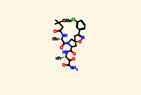 CCC[C@H](NC(=O)[C@@H]1C[C@]2(CC(c3cccc(Cl)c3)=NO2)CN1C(=O)[C@@H](NC(=O)CC(C)(C)OC)C(C)(C)C)C(=O)C(N)=O